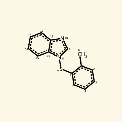 Cc1ccccc1Sn1cnc2ccccc21